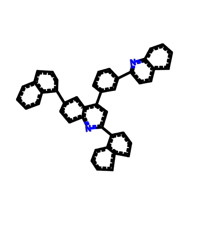 c1cc(-c2ccc3ccccc3n2)cc(-c2cc(-c3cccc4ccccc34)nc3ccc(-c4cccc5ccccc45)cc23)c1